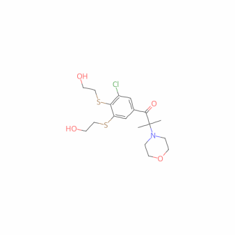 CC(C)(C(=O)c1cc(Cl)c(SCCO)c(SCCO)c1)N1CCOCC1